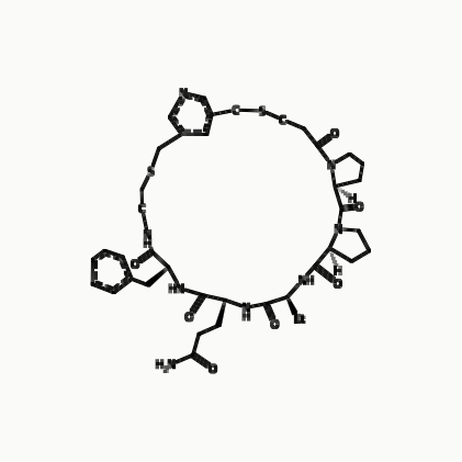 CC[C@@H]1NC(=O)[C@@H]2CCCN2C(=O)[C@@H]2CCCN2C(=O)CCSCc2cncc(c2)CSCCNC(=O)[C@H](Cc2ccccc2)NC(=O)[C@H](CCC(N)=O)NC1=O